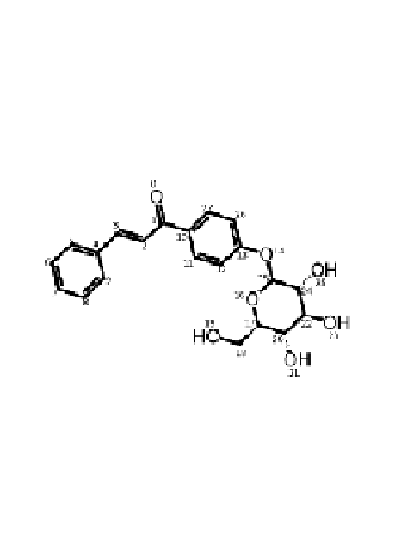 O=C(/C=C/c1ccccc1)c1ccc(O[C@@H]2O[C@H](CO)[C@@H](O)[C@H](O)[C@H]2O)cc1